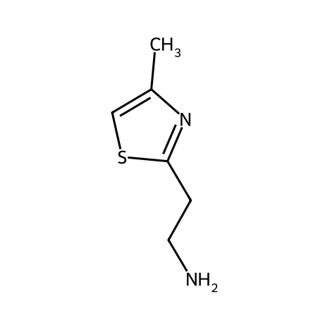 Cc1csc(CCN)n1